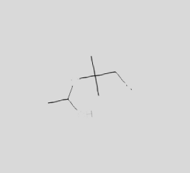 CC(O)OC(C)(C)CN